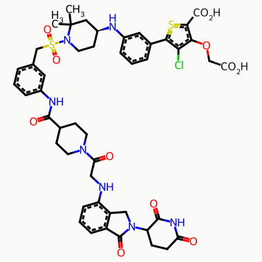 CC1(C)C[C@@H](Nc2cccc(-c3sc(C(=O)O)c(OCC(=O)O)c3Cl)c2)CCN1S(=O)(=O)Cc1cccc(NC(=O)C2CCN(C(=O)CNc3cccc4c3CN(C3CCC(=O)NC3=O)C4=O)CC2)c1